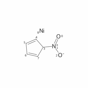 O=[N+]([O-])C1C=CC=C1.[Ni]